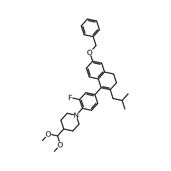 COC(OC)C1CCN(c2ccc(C3=C(CC(C)C)CCc4cc(OCc5ccccc5)ccc43)cc2F)CC1